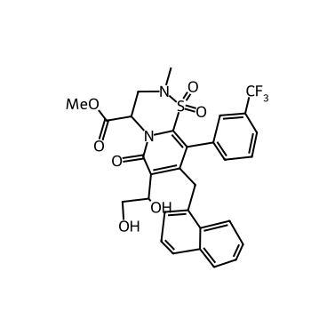 COC(=O)C1CN(C)S(=O)(=O)c2c(-c3cccc(C(F)(F)F)c3)c(Cc3cccc4ccccc34)c(C(O)CO)c(=O)n21